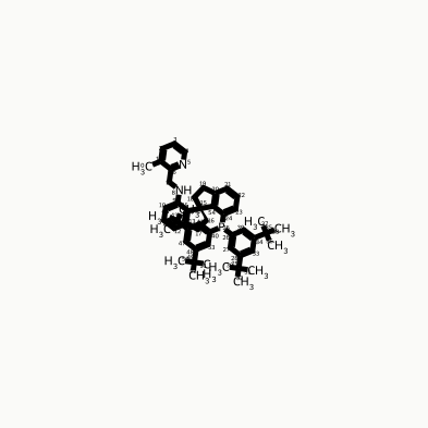 Cc1cccnc1CNc1cccc2c1[C@]1(CC2)CCc2cccc(P(c3cc(C(C)(C)C)cc(C(C)(C)C)c3)c3cc(C(C)(C)C)cc(C(C)(C)C)c3)c21